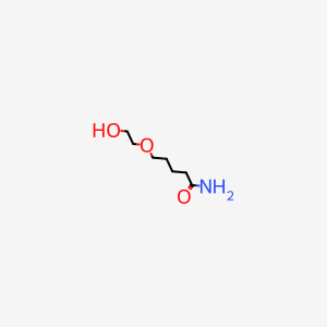 NC(=O)CCCCOCCO